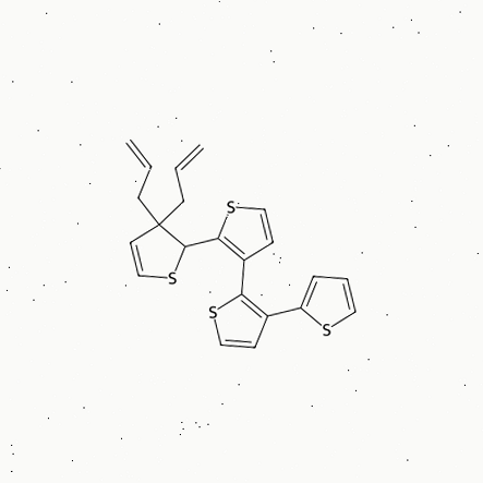 C=CCC1(CC=C)C=CSC1c1sccc1-c1sccc1-c1cccs1